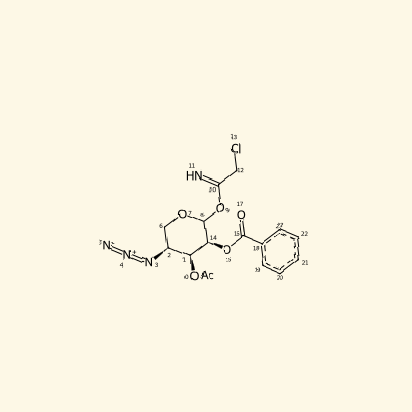 CC(=O)O[C@H]1[C@@H](N=[N+]=[N-])COC(OC(=N)CCl)[C@H]1OC(=O)c1ccccc1